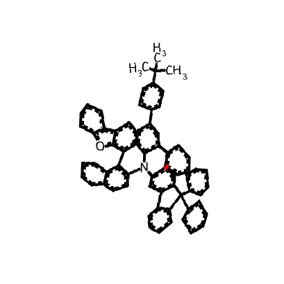 CC(C)(C)c1ccc(-c2ccc(N(c3ccc4c(c3)-c3ccccc3C4(c3ccccc3)c3ccccc3)c3ccc4ccccc4c3-c3cccc4c3oc3ccccc34)c(-c3ccccc3)c2)cc1